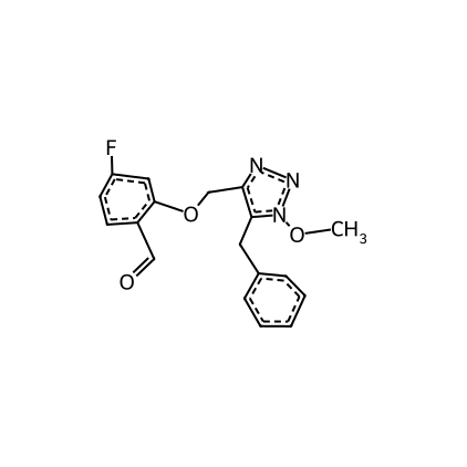 COn1nnc(COc2cc(F)ccc2C=O)c1Cc1ccccc1